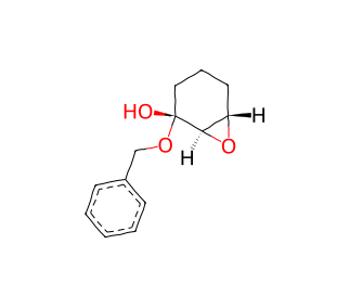 O[C@@]1(OCc2ccccc2)CCC[C@@H]2O[C@H]21